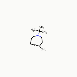 CC1CCCCN(C(C)(C)C)CC1